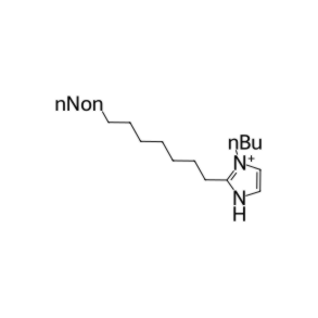 CCCCCCCCCCCCCCCCc1[nH]cc[n+]1CCCC